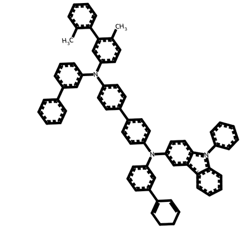 Cc1ccccc1-c1cc(N(c2ccc(-c3ccc(N(c4cccc(C5=CCCC=C5)c4)c4ccc5c(c4)c4ccccc4n5-c4ccccc4)cc3)cc2)c2cccc(-c3ccccc3)c2)ccc1C